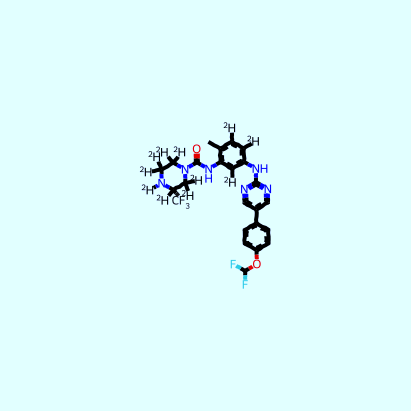 [2H]c1c([2H])c(Nc2ncc(-c3ccc(OC(F)F)cc3)cn2)c([2H])c(NC(=O)N2C([2H])([2H])C([2H])([2H])N([2H])C([2H])(C(F)(F)F)C2([2H])[2H])c1C